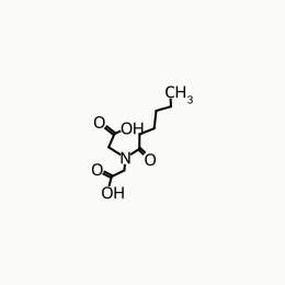 CCCCCC(=O)N(CC(=O)O)CC(=O)O